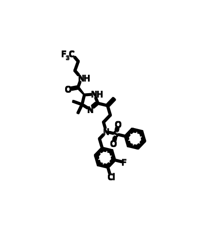 C=C(CCN(Cc1ccc(Cl)c(F)c1)S(=O)(=O)c1ccccc1)C1=NC(C)(C)[C@@H](C(=O)NCCC(F)(F)F)N1